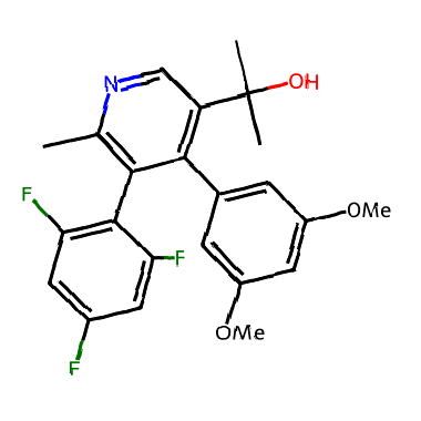 COc1cc(OC)cc(-c2c(C(C)(C)O)cnc(C)c2-c2c(F)cc(F)cc2F)c1